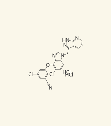 Cl.Cl.N#Cc1cc(Cl)cc(Oc2c(Cl)ccc3c2ncn3Cc2n[nH]c3ncccc23)c1